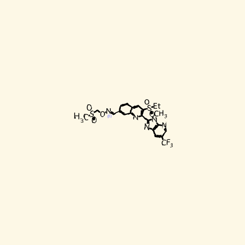 CCS(=O)(=O)c1cc2ccc(/C=N/OCS(C)(=O)=O)cc2nc1-c1nc2cc(C(F)(F)F)cnc2n1C